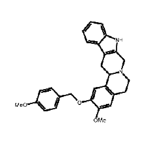 COc1ccc(COc2cc3c(cc2OC)CCN2Cc4[nH]c5ccccc5c4CC32)cc1